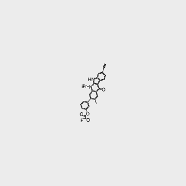 C#Cc1ccc2c(c1)[nH]c1c2c(=O)c2cc(C)c(-c3cccc(OS(=O)(=O)F)c3)cc2n1C(C)C